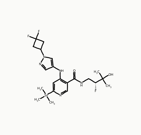 CC(C)(O)[C@H](F)CNC(=O)c1cn[c]([Sn]([CH3])([CH3])[CH3])cc1Nc1cnn(C2CC(F)(F)C2)c1